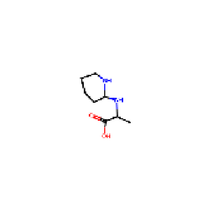 CC(NC1CCCCN1)C(=O)O